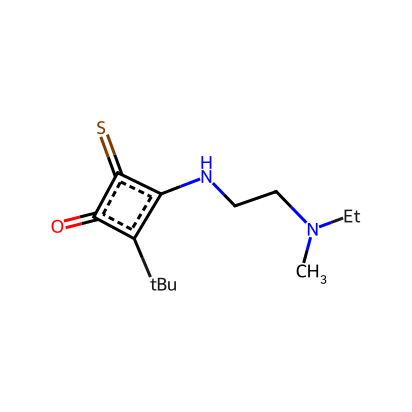 CCN(C)CCNc1c(C(C)(C)C)c(=O)c1=S